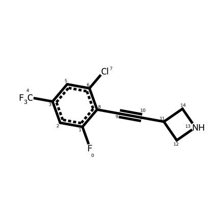 Fc1cc(C(F)(F)F)cc(Cl)c1C#CC1CNC1